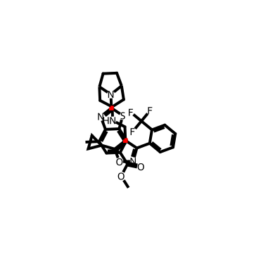 COC(=O)c1cc(C)c2nc(N3C4CCC3CC(NCc3c(-c5ccccc5C(F)(F)F)noc3C3CC3)C4)sc2c1